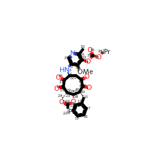 COc1c(N[C@H]2CC(=O)C(=O)[C@H](Cc3ccccc3)[C@H](OC(=O)C(C)C)[C@H](C)C(=O)C2=O)cnc(C)c1OC(=O)OC(C)C